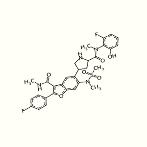 CNC(=O)c1c(-c2ccc(F)cc2)oc2cc(N(C)S(C)(=O)=O)c(C3CNC(C(=O)N(C)c4c(O)cccc4F)C3)cc12